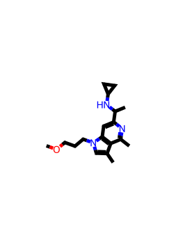 COCCCn1cc(C)c2c(C)nc(C(C)NC3CC3)cc21